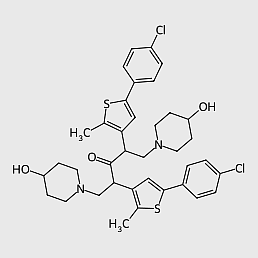 Cc1sc(-c2ccc(Cl)cc2)cc1C(CN1CCC(O)CC1)C(=O)C(CN1CCC(O)CC1)c1cc(-c2ccc(Cl)cc2)sc1C